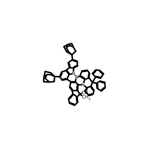 CC1(C)c2ccccc2-c2cc3c4c(c21)N1c2ccccc2C(c2ccccc2)(c2ccccc2)c2cccc(c21)B4n1c2ccc(C45CCC6CC(CC6C4)C5)cc2c2cc(C45CCC6CC(CC6C4)C5)cc-3c21